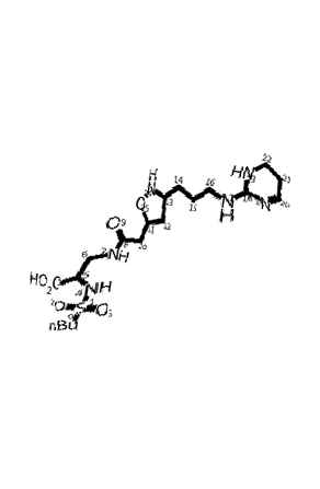 CCCCS(=O)(=O)NC(CNC(=O)CC1CC(CCCNC2N=CCCN2)NO1)C(=O)O